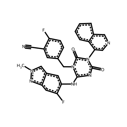 Cn1cc2cc(Nc3nc(=O)n(-c4cncc5ccccc45)c(=O)n3Cc3ccc(F)c(C#N)c3)c(F)cc2n1